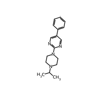 CC(C)N1CCN(c2ncc(-c3cc[c]cc3)cn2)CC1